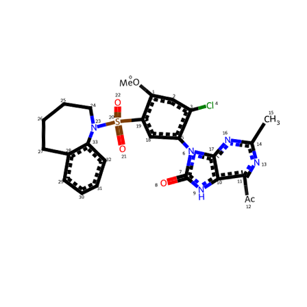 COc1cc(Cl)c(-n2c(=O)[nH]c3c(C(C)=O)nc(C)nc32)cc1S(=O)(=O)N1CCCCc2ccccc21